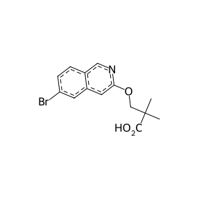 CC(C)(COc1cc2cc(Br)ccc2cn1)C(=O)O